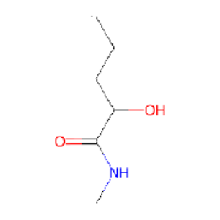 [CH2]CCC(O)C(=O)NC